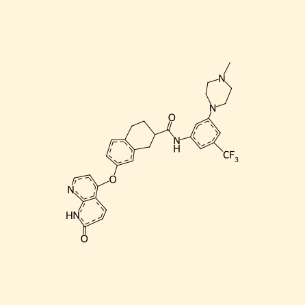 CN1CCN(c2cc(NC(=O)C3CCc4ccc(Oc5ccnc6[nH]c(=O)ccc56)cc4C3)cc(C(F)(F)F)c2)CC1